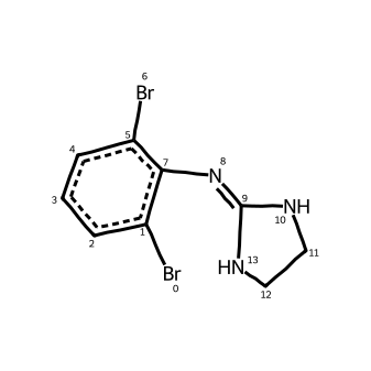 Brc1cccc(Br)c1N=C1NCCN1